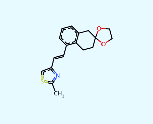 Cc1nc(/C=C/c2cccc3c2CCC2(C3)OCCO2)cs1